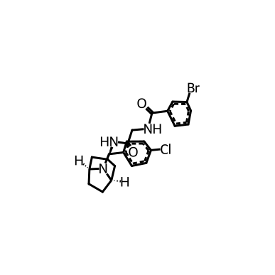 O=C(CNC(=O)c1cccc(Br)c1)N[C@H]1C[C@H]2CC[C@@H](C1)N2Cc1ccc(Cl)cc1